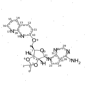 CC1(C)O[C@@H]2[C@H](O1)[C@@H](COc1ccc3cccnc3n1)O[C@H]2n1ccc2c(N)ncnc21